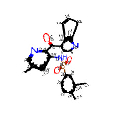 Cc1cnc(C(=O)c2ccnc3c2C=CC3)c(NS(=O)(=O)c2ccc(C)c(C)c2)c1